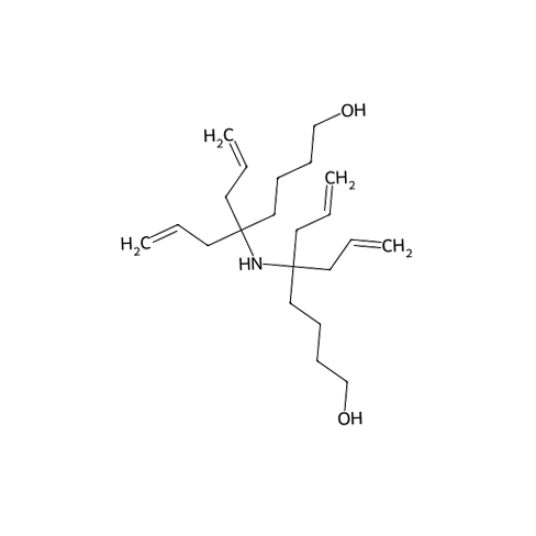 C=CCC(CC=C)(CCCCO)NC(CC=C)(CC=C)CCCCO